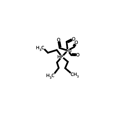 CCC[PH](CCC)(CCC)[Ru]([CH]=O)([CH]=O)([CH]=O)[CH]=O